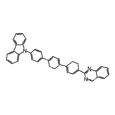 C1=C(C2=CC=C(c3ncc4ccccc4n3)CC2)CCC(c2ccc(-n3c4ccccc4c4ccccc43)cc2)=C1